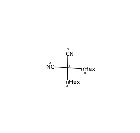 CCCCCCC(C#N)(C#N)CCCCCC